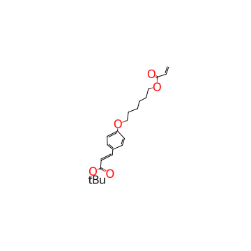 C=CC(=O)OCCCCCCOc1ccc(/C=C/C(=O)OC(C)(C)C)cc1